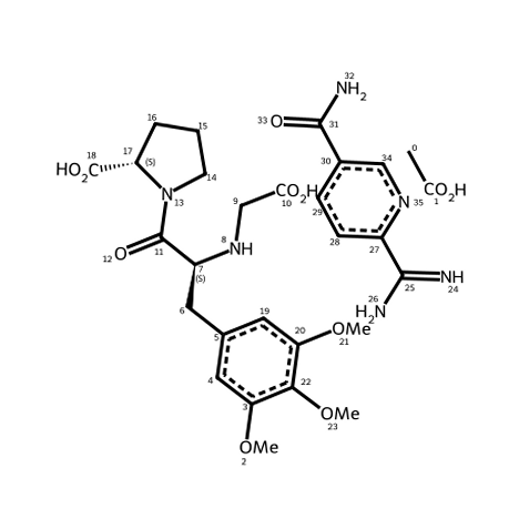 CC(=O)O.COc1cc(C[C@H](NCC(=O)O)C(=O)N2CCC[C@H]2C(=O)O)cc(OC)c1OC.N=C(N)c1ccc(C(N)=O)cn1